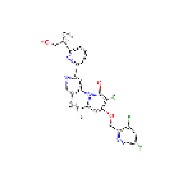 Cc1cnc(-c2cccc([C@H](C)CO)n2)cc1-n1c(C)cc(OCc2ncc(F)cc2F)c(Cl)c1=O